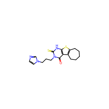 O=c1c2c3c(sc2[nH]c(=S)n1CCCn1ccnc1)CCCCC3